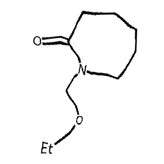 CCOCN1CCCCCC1=O